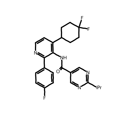 CC(C)c1ncc(C(=O)Nc2c(C3CCC(F)(F)CC3)ccnc2-c2ccc(F)cc2)cn1